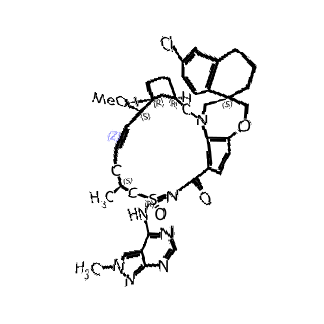 CO[C@@H]1/C=C\C[C@H](C)C[S@@](=O)(Nc2ncnc3nn(C)cc23)=NC(=O)c2ccc3c(c2)N(C[C@@H]2CC[C@H]21)C[C@@]1(CCCc2cc(Cl)ccc21)CO3